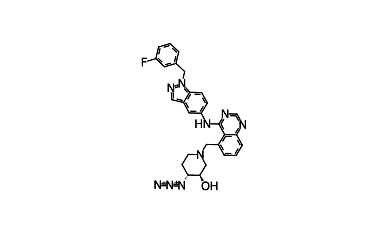 [N-]=[N+]=N[C@@H]1CCN(Cc2cccc3ncnc(Nc4ccc5c(cnn5Cc5cccc(F)c5)c4)c23)C[C@H]1O